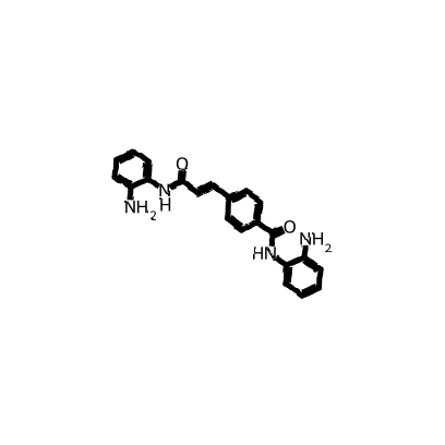 Nc1ccccc1NC(=O)C=Cc1ccc(C(=O)Nc2ccccc2N)cc1